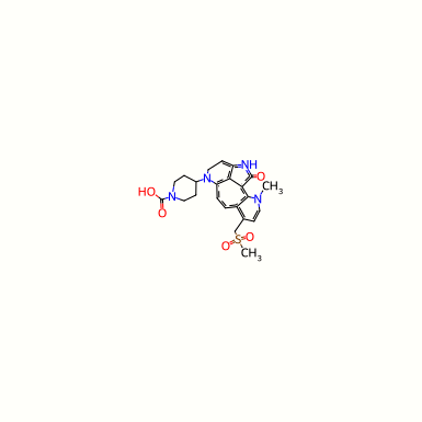 CN1C=CC(CS(C)(=O)=O)=c2ccc3c4c([nH]c(=O)c-4c21)=CCN3C1CCN(C(=O)O)CC1